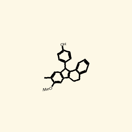 COc1cc2c(cc1C)C(c1ccc(O)cc1)C1=C2CCc2ccccc21